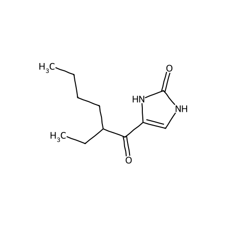 CCCCC(CC)C(=O)c1c[nH]c(=O)[nH]1